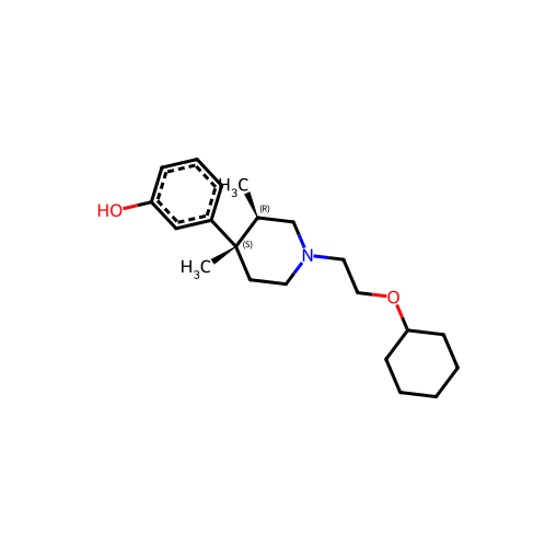 C[C@H]1CN(CCOC2CCCCC2)CC[C@]1(C)c1cccc(O)c1